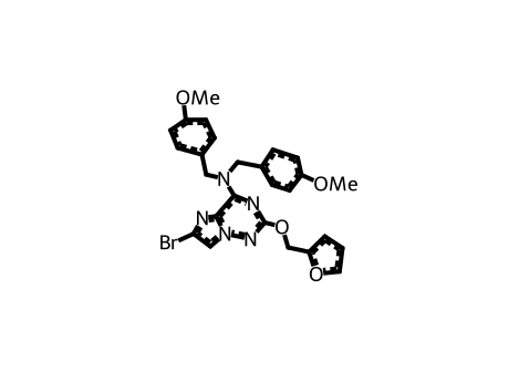 COc1ccc(CN(Cc2ccc(OC)cc2)c2nc(OCc3ccco3)nn3cc(Br)nc23)cc1